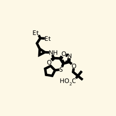 CCC(CC)CC1CC1NC(=O)c1onc(OCC(C)(C)C(=O)O)c1SC1CCCC1